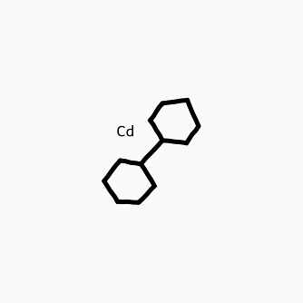 C1CCC(C2CCCCC2)CC1.[Cd]